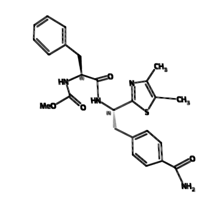 COC(=O)N[C@@H](Cc1ccccc1)C(=O)N[C@@H](Cc1ccc(C(N)=O)cc1)c1nc(C)c(C)s1